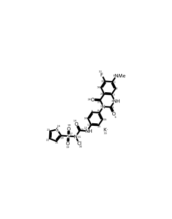 CNc1cc2[nH]c(=O)n(-c3ccc(NC(=O)N(Cl)S(=O)(=O)c4cccs4)cc3)c(=O)c2cc1F.[K]